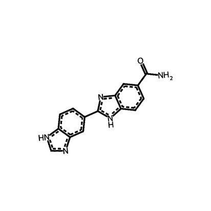 NC(=O)c1ccc2[nH]c(-c3ccc4[nH]cnc4c3)nc2c1